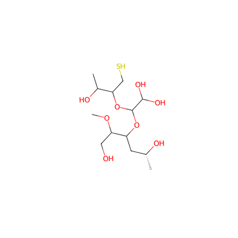 COC(CO)C(C[C@@H](C)O)OC(OC(CS)C(C)O)C(O)O